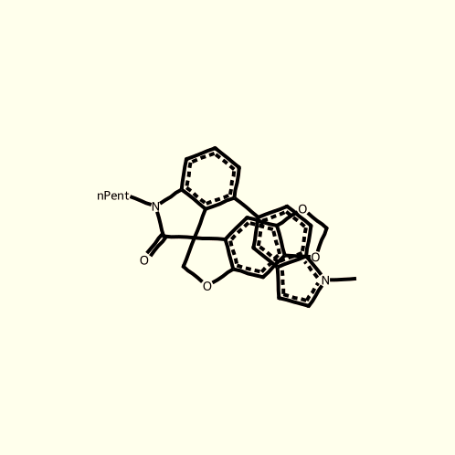 CCCCCN1C(=O)C2(COc3cc4c(cc32)OCO4)c2c(-c3ccc4c(ccn4C)c3)cccc21